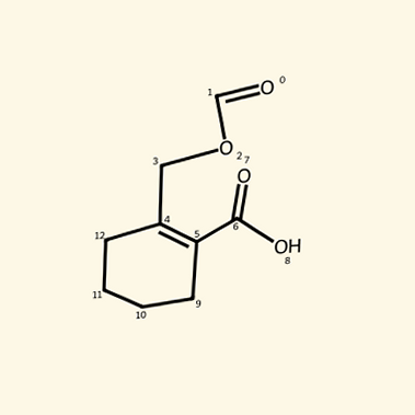 O=COCC1=C(C(=O)O)CCCC1